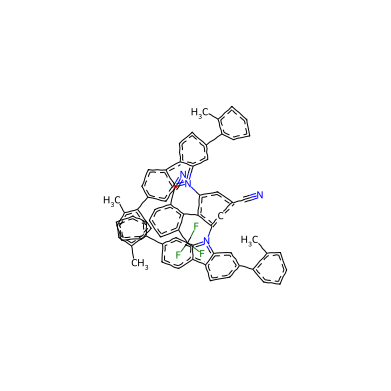 Cc1ccccc1-c1ccc2c3ccc(-c4ccccc4C)cc3n(-c3cc(C#N)cc(-n4c5cc(-c6ccccc6C)ccc5c5ccc(-c6ccccc6C)cc54)c3-c3c(C#N)cccc3C(F)(F)F)c2c1